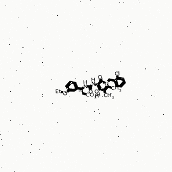 CCOc1cccc([C@H](CC(=O)O)NC(=O)Nc2c(O)c(C)c(C)n(Cc3ccccc3Cl)c2=O)c1